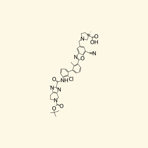 Cc1c(-c2nc3cc(CN4CC[C@@](C)(C(=O)O)C4)cc(C#N)c3o2)cccc1-c1cccc(NC(=O)c2nc3c(n2C)CCN(C(=O)OC(C)(C)C)C3)c1Cl